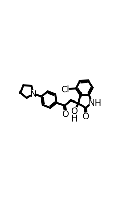 O=C(CC1(O)C(=O)Nc2cccc(Cl)c21)c1ccc(N2CCCC2)cc1